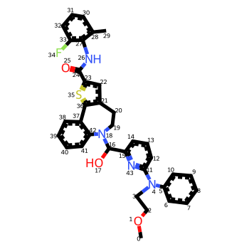 COCCN(c1ccccc1)c1cccc(C(O)N2CCc3cc(C(=O)Nc4c(C)cccc4F)sc3-c3ccccc32)n1